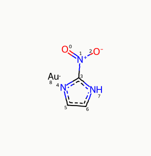 O=[N+]([O-])c1ncc[nH]1.[Au]